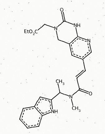 CCOC(=O)CN1Cc2cc(C=CC(=O)N(C)C(C)c3cc4ccccc4[nH]3)cnc2NC1=O